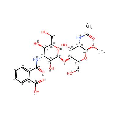 CO[C@H]1O[C@H](CO)[C@@H](O[C@@H]2O[C@H](CO)[C@H](O)[C@@H](NC(=O)c3ccccc3C(=O)O)[C@H]2O)[C@H](O)[C@@H]1NC(C)=O